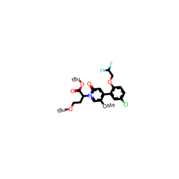 COc1cn(C(CCOC(C)(C)C)C(=O)OC(C)(C)C)c(=O)cc1-c1cc(Cl)ccc1OCC(F)F